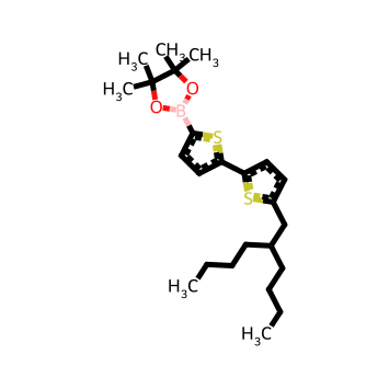 CCCCC(CCCC)Cc1ccc(-c2ccc(B3OC(C)(C)C(C)(C)O3)s2)s1